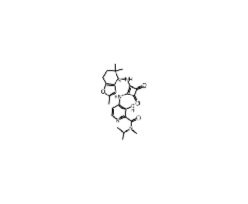 Cc1cc2c(o1)CCC(C)(C)[C@H]2Nc1c(Nc2ccnc(C(=O)N(C)C(C)C)c2O)c(=O)c1=O